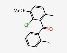 COc1ccc(C)c(C(=O)c2ccccc2C)c1Cl